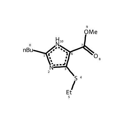 CCCCc1nc(SCC)c(C(=O)OC)[nH]1